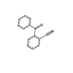 N#Cc1ccccc1C(=O)c1[c]cccc1